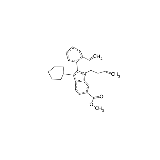 C=CCCn1c(-c2ccccc2C=C)c(C2CCCCC2)c2ccc(C(=O)OC)cc21